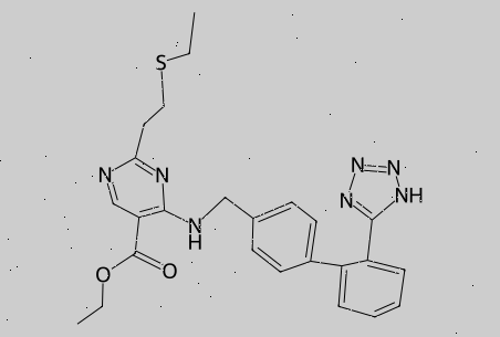 CCOC(=O)c1cnc(CCSCC)nc1NCc1ccc(-c2ccccc2-c2nnn[nH]2)cc1